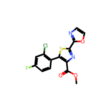 COC(=O)c1nc(-c2ncco2)sc1-c1ccc(F)cc1Cl